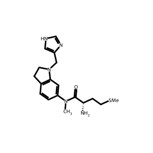 CSCC[C@H](N)C(=O)N(C)c1ccc2c(c1)N(Cc1c[nH]cn1)CC2